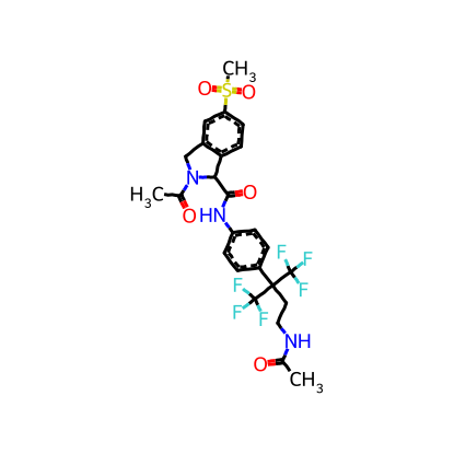 CC(=O)NCCC(c1ccc(NC(=O)C2c3ccc(S(C)(=O)=O)cc3CN2C(C)=O)cc1)(C(F)(F)F)C(F)(F)F